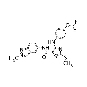 CSc1nc(Nc2ccc(OC(F)F)cc2)c(C(=O)Nc2ccc3nn(C)cc3c2)s1